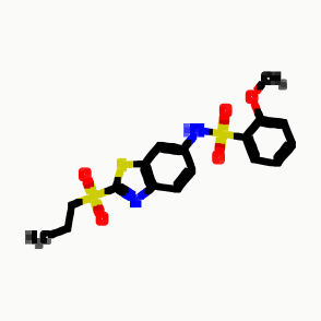 CCCS(=O)(=O)c1nc2ccc(NS(=O)(=O)c3ccccc3OC)cc2s1